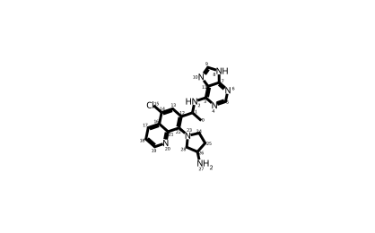 CC(Nc1ncnc2[nH]cnc12)c1cc(Cl)c2cccnc2c1N1CCC(N)C1